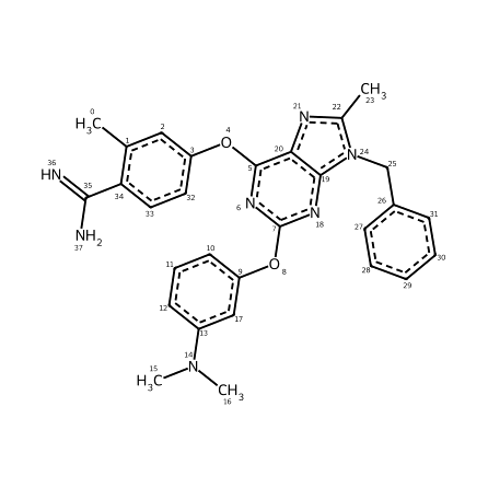 Cc1cc(Oc2nc(Oc3cccc(N(C)C)c3)nc3c2nc(C)n3Cc2ccccc2)ccc1C(=N)N